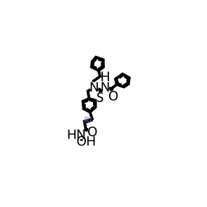 O=C(/C=C/c1ccc(CN(CCc2ccccc2)C(=S)NC(=O)c2ccccc2)cc1)NO